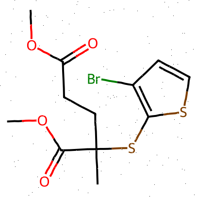 COC(=O)CCC(C)(Sc1sccc1Br)C(=O)OC